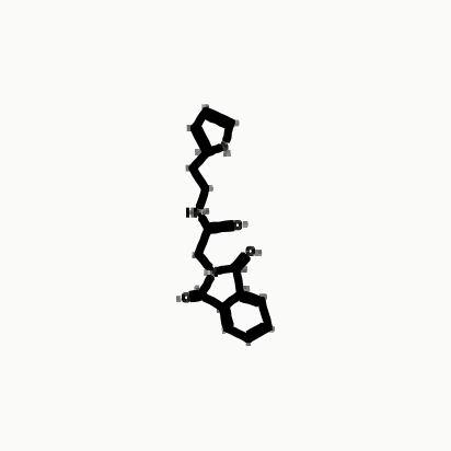 O=C(CN1C(=O)c2ccccc2C1=O)NCCc1cccs1